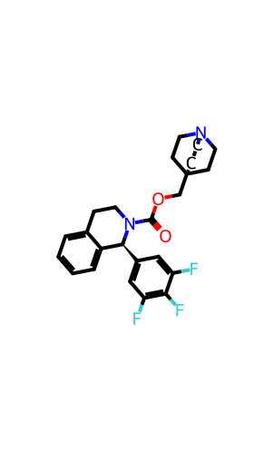 O=C(OCC12CCN(CC1)CC2)N1CCc2ccccc2[C@@H]1c1cc(F)c(F)c(F)c1